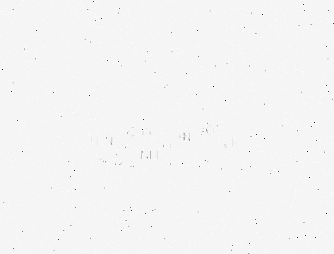 CC(C)C[C@H](NC(=O)Oc1ccc(C2CC2)c(OC(C)C(F)(F)F)n1)C(N)=O